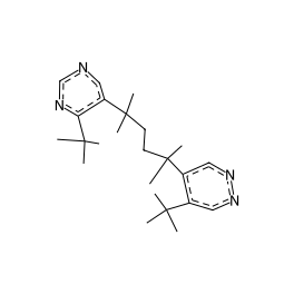 CC(C)(C)c1cnncc1C(C)(C)CCC(C)(C)c1cncnc1C(C)(C)C